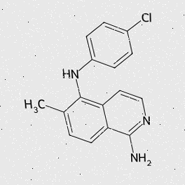 Cc1ccc2c(N)nccc2c1Nc1ccc(Cl)cc1